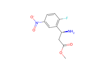 COC(=O)C[C@H](N)c1cc([N+](=O)[O-])ccc1F